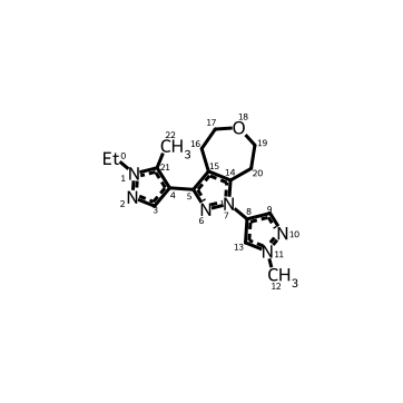 CCn1ncc(-c2nn(-c3cnn(C)c3)c3c2CCOCC3)c1C